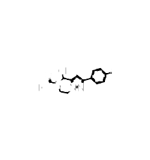 CC1c2cc(-c3ccc(F)cc3)nn2CCN1C(=O)O